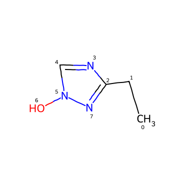 CCc1ncn(O)n1